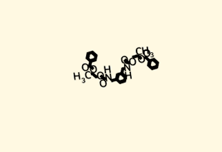 CC(COC(=O)NCc1cccc(CNC(=O)OCC(C)OC(=O)c2ccccc2)c1)OC(=O)c1ccccc1